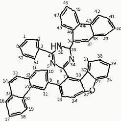 c1ccc(C2=NC(c3c(-c4ccc5ccc6ccccc6c5c4)ccc4oc5ccccc5c34)=NC(c3cc4ccccc4c4ccccc34)N2)cc1